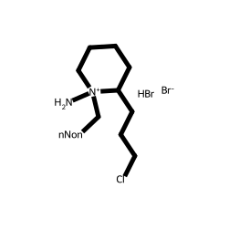 Br.CCCCCCCCCC[N+]1(N)CCCCC1CCCCl.[Br-]